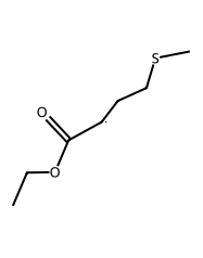 CCOC(=O)[CH]CCSC